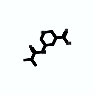 CC(C)C(=O)NC1CNCC(C(=O)O)C1